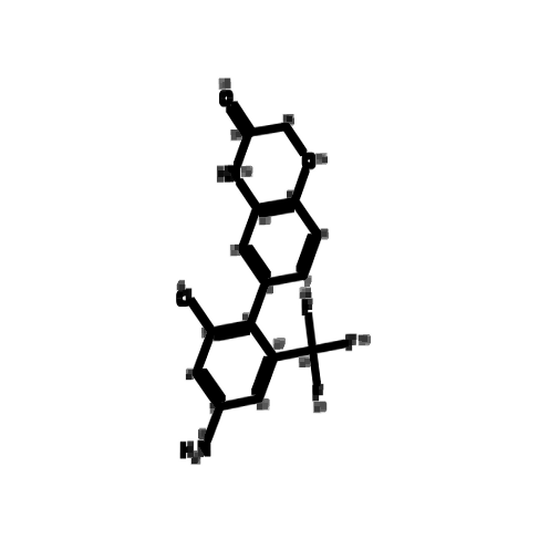 Nc1cc(Cl)c(-c2ccc3c(c2)NC(=O)CO3)c(C(F)(F)F)c1